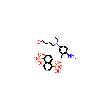 CCN(CCCCO)c1ccc(N)c(C)c1.O=P(O)(O)c1cccc2c(P(=O)(O)O)cccc12